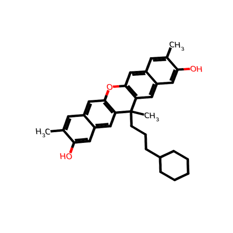 Cc1cc2cc3c(cc2cc1O)C(C)(CCCC1CCCCC1)c1cc2cc(O)c(C)cc2cc1O3